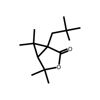 CC(C)(C)CC12C(=O)OC(C)(C)C1C2(C)C